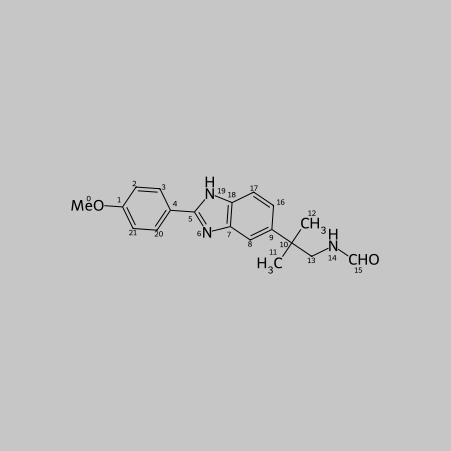 COc1ccc(-c2nc3cc(C(C)(C)CNC=O)ccc3[nH]2)cc1